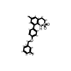 Cc1cc2c(c(-c3ccc(OCc4cccc(F)c4)cc3)c1)NS(=O)(=O)CC2